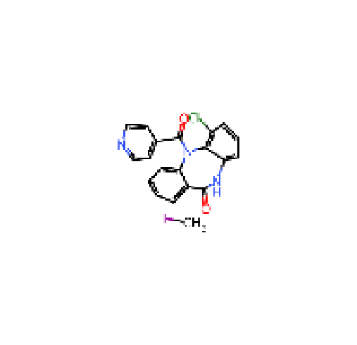 CI.O=C1Nc2cccc(Cl)c2N(C(=O)c2ccncc2)c2ccccc21